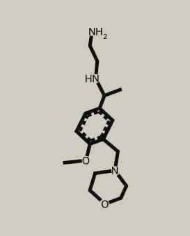 COc1ccc(C(C)NCCN)cc1CN1CCOCC1